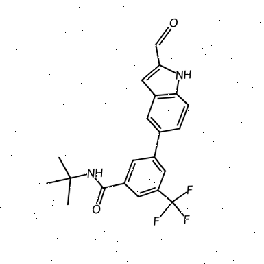 CC(C)(C)NC(=O)c1cc(-c2ccc3[nH]c(C=O)cc3c2)cc(C(F)(F)F)c1